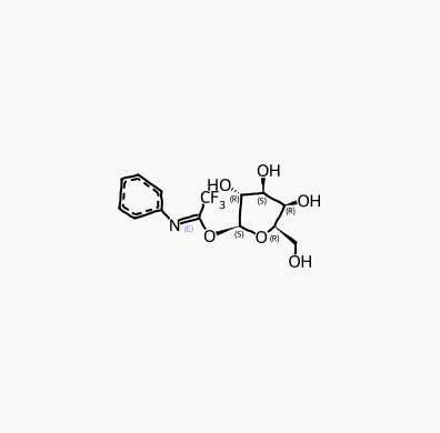 OC[C@H]1O[C@@H](O/C(=N/c2ccccc2)C(F)(F)F)[C@H](O)[C@@H](O)[C@H]1O